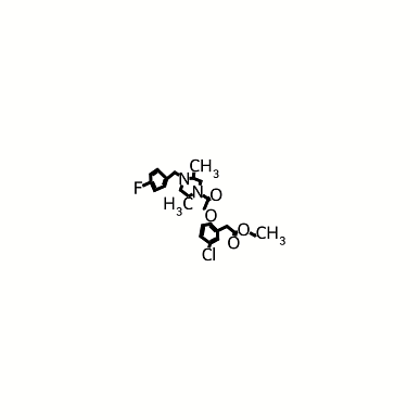 CCOC(=O)Cc1cc(Cl)ccc1OCC(=O)N1CC(C)N(Cc2ccc(F)cc2)CC1C